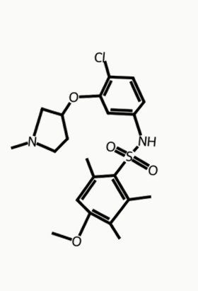 COc1cc(C)c(S(=O)(=O)Nc2ccc(Cl)c(OC3CCN(C)C3)c2)c(C)c1C